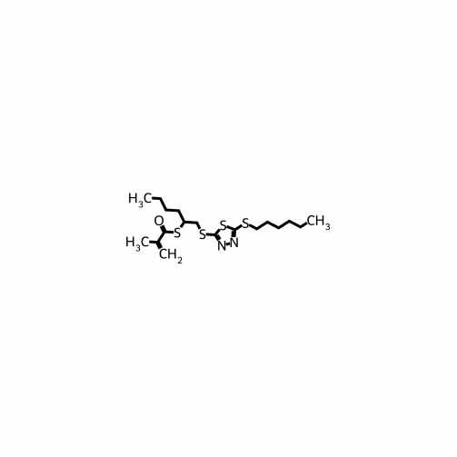 C=C(C)C(=O)SC(CCCC)CSc1nnc(SCCCCCC)s1